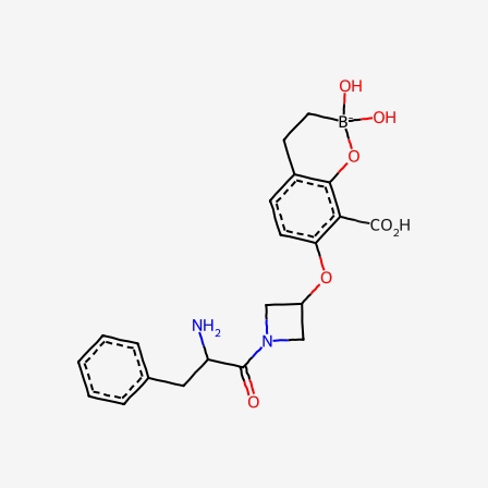 NC(Cc1ccccc1)C(=O)N1CC(Oc2ccc3c(c2C(=O)O)O[B-](O)(O)CC3)C1